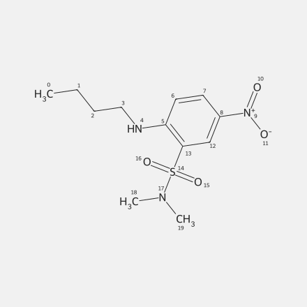 CCCCNc1ccc([N+](=O)[O-])cc1S(=O)(=O)N(C)C